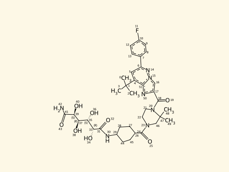 CC(C)(C)c1cc(-c2ccc(F)cc2)nn2cc(C(=O)N3CCN(C(=O)C4CCC(NC(=O)[C@H](O)[C@@H](O)[C@@H](O)[C@H](O)C(N)=O)CC4)CC3(C)C)nc12